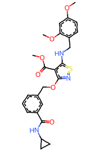 COC(=O)c1c(OCc2cccc(C(=O)NC3CC3)c2)nsc1NCc1ccc(OC)cc1OC